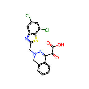 O=C(O)C(=O)C1=NN(Cc2nc3cc(Cl)cc(Cl)c3s2)Cc2ccccc21